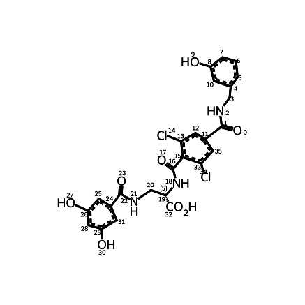 O=C(NCc1cccc(O)c1)c1cc(Cl)c(C(=O)N[C@@H](CNC(=O)c2cc(O)cc(O)c2)C(=O)O)c(Cl)c1